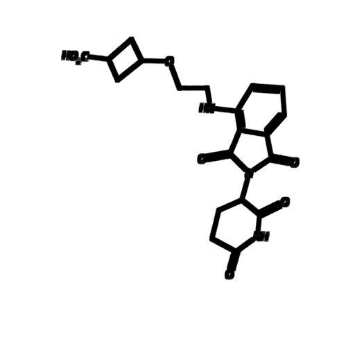 O=C1CCC(N2C(=O)c3cccc(NCCOC4CC(C(=O)O)C4)c3C2=O)C(=O)N1